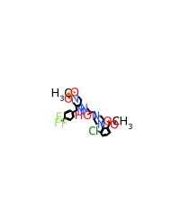 COC(=O)c1cccc(Cl)c1N1CCN(CC(O)Cn2nc(-c3ccc(C(F)(F)F)cc3)c3c2CCN(S(C)(=O)=O)C3)CC1